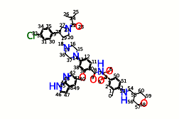 Cc1cc(S(=O)(=O)NC(=O)c2ccc(N3CCN(C[C@H]4CN(C(=O)C(C)C)C[C@@H]4c4ccc(Cl)cc4)CC3)cc2Oc2cnc3[nH]ccc3c2)ccc1NCC1CCOCC1